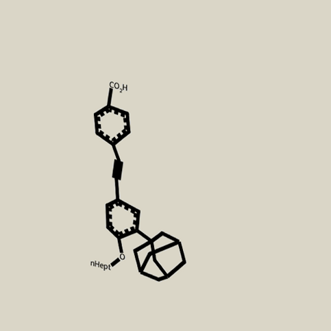 CCCCCCCOc1ccc(C#Cc2ccc(C(=O)O)cc2)cc1C12CC3CC(CC(C3)C1)C2